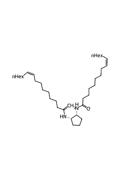 C=C(CCCCCCC/C=C\CCCCCC)N[C@H]1CCC[C@H]1NC(=O)CCCCCCC/C=C\CCCCCC